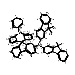 CC1(C)c2ccccc2-c2ccc(N(c3ccc4c(c3)C(C)(C)c3ccccc3-4)c3ccc4c(c3)C3(c5ccccc5-4)c4ccccc4N(c4ccccc4)c4ccccc43)cc21